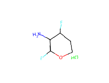 Cl.NC1C(F)CCOC1F